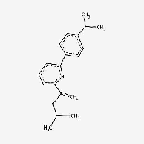 C=C(CC(C)C)c1cccc(-c2ccc(C(C)C)cc2)n1